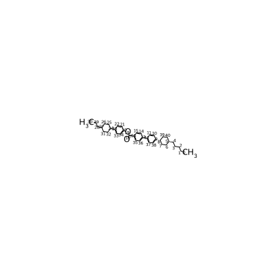 CCCCC[C@H]1CC[C@H](c2ccc(-c3ccc(C(=O)Oc4ccc(C5CCC(CCC)CC5)cc4)cc3)cc2)CC1